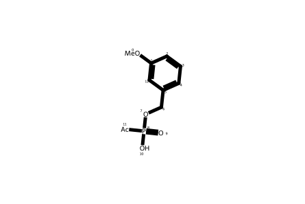 COc1cccc(COP(=O)(O)C(C)=O)c1